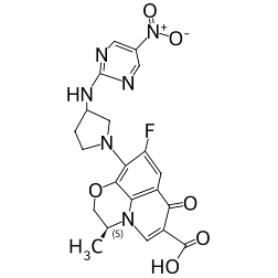 C[C@H]1COc2c(N3CCC(Nc4ncc([N+](=O)[O-])cn4)C3)c(F)cc3c(=O)c(C(=O)O)cn1c23